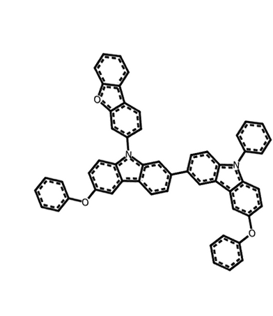 c1ccc(Oc2ccc3c(c2)c2cc(-c4ccc5c6cc(Oc7ccccc7)ccc6n(-c6ccc7c(c6)oc6ccccc67)c5c4)ccc2n3-c2ccccc2)cc1